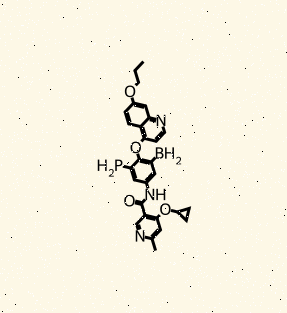 Bc1cc(NC(=O)c2cnc(C)cc2OC2CC2)cc(P)c1Oc1ccnc2cc(OCCC)ccc12